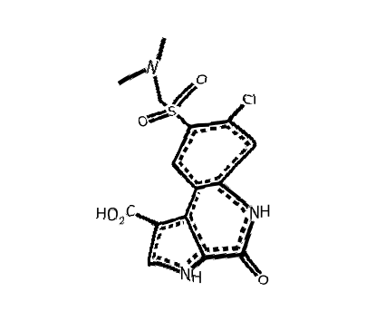 CN(C)S(=O)(=O)c1cc2c(cc1Cl)[nH]c(=O)c1[nH]cc(C(=O)O)c12